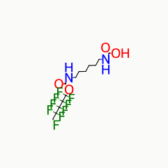 O=C(O)NCCCCCCNC(=O)OC(F)(F)C(F)(F)C(F)(F)C(F)(F)CF